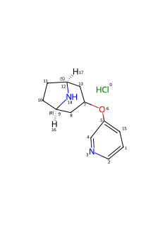 Cl.c1cncc(OC2C[C@H]3CC[C@@H](C2)N3)c1